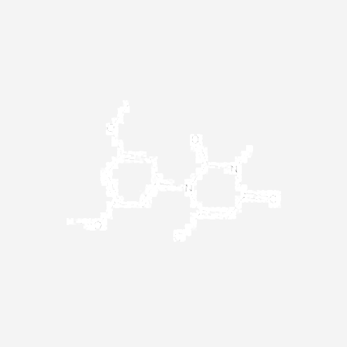 COc1cc(OC)cc(-n2c(Cl)cc(=O)n(C)c2=O)c1